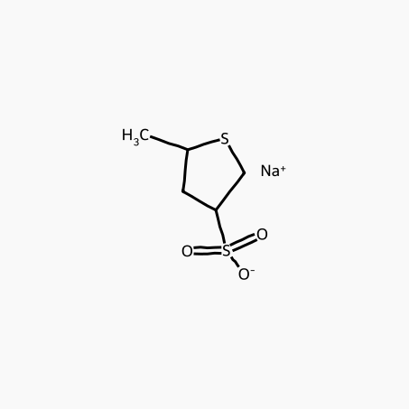 CC1CC(S(=O)(=O)[O-])CS1.[Na+]